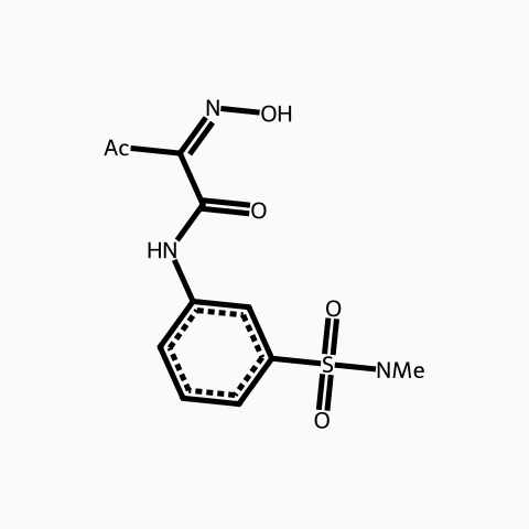 CNS(=O)(=O)c1cccc(NC(=O)/C(=N\O)C(C)=O)c1